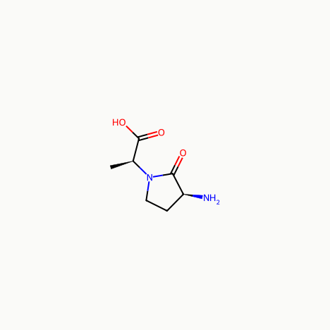 C[C@@H](C(=O)O)N1CC[C@H](N)C1=O